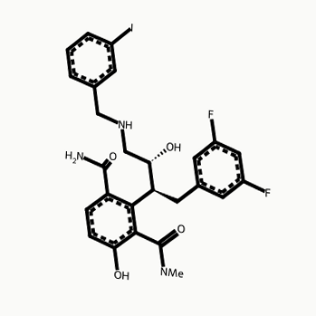 CNC(=O)c1c(O)ccc(C(N)=O)c1[C@H](Cc1cc(F)cc(F)c1)[C@@H](O)CNCc1cccc(I)c1